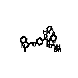 Cc1cc(COc2ccc(C(=O)N[C@@H]3CN(C[C@H]4CCCN4)CC[C@@H]3C(=O)NO)cc2)c2ccccc2n1